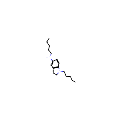 CCCCCNc1ccc2c(c1)CCN2CCCCC